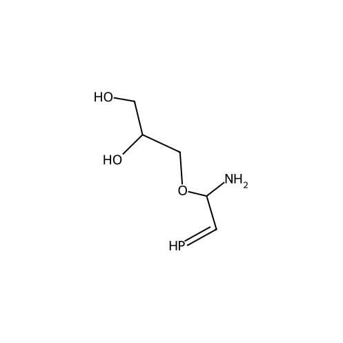 NC(C=P)OCC(O)CO